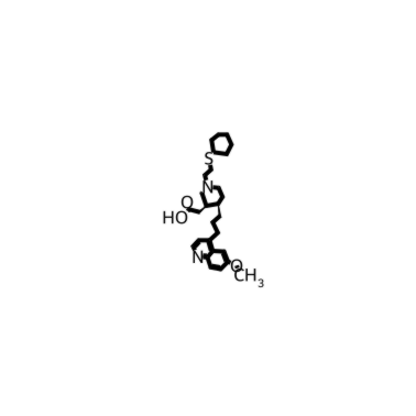 COc1ccc2nccc(CCC[C@@H]3CCN(CCSC4CCCCC4)C[C@@H]3CC(=O)O)c2c1